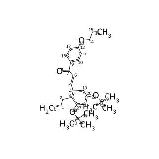 C=CCc1c(C=CC(=O)c2ccc(OCCC)cc2)cc(OC(C)(C)C)cc1OC(C)(C)C